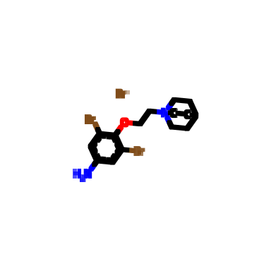 Nc1cc(Br)c(OCC[N+]23CCC(CC2)CC3)c(Br)c1.[Br-]